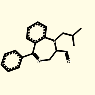 CC(C)CN1c2ccccc2C(c2ccccc2)=NCC1C=O